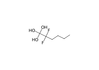 CCCCC(F)(F)C(O)(O)O